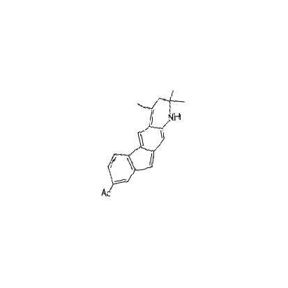 CC(=O)c1ccc2c(c1)C=c1cc3c(cc1-2)=C(C)CC(C)(C)N3